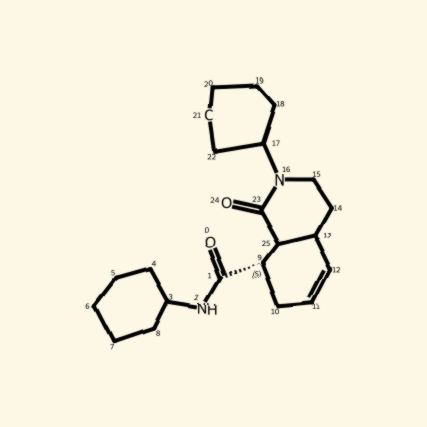 O=C(NC1CCCCC1)[C@H]1CC=CC2CCN(C3CCCCC3)C(=O)C21